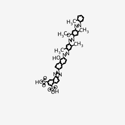 COc1cc(N=Nc2ccccc2C)c(C)cc1N=Nc1cc(C)c(N=Nc2ccc3cc(-n4nc5ccc6c(S(=O)(=O)O)cc(S(=O)(=O)O)cc6c5n4)ccc3c2O)cc1C